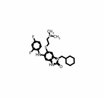 CN(C)CCSc1cc2c(cc1Nc1ccc(F)cc1F)[nH]c(=O)n2CC1CCCCC1